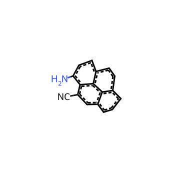 N#Cc1cc2cccc3ccc4ccc(N)c1c4c32